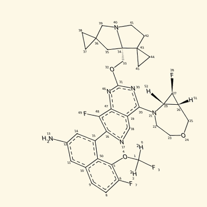 [2H]C([2H])(F)Oc1c(F)ccc2cc(N)cc(-c3ncc4c(N5CCOC[C@H]6[C@H](F)[C@H]65)nc(OC[C@]56CC7(CC7)CN5CCC65CC5)nc4c3F)c12